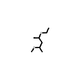 CCOC(C)CC(C)OC